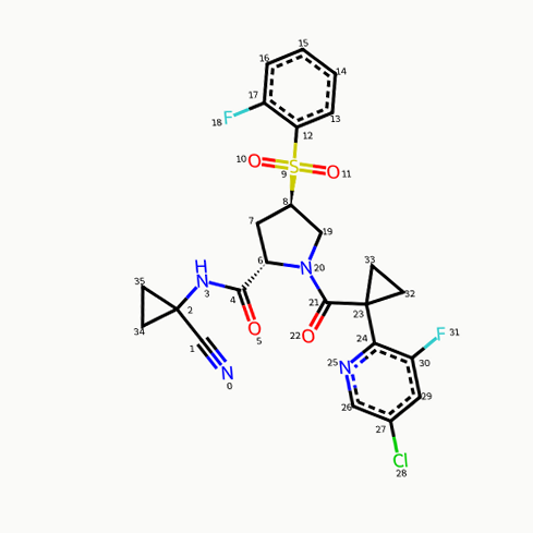 N#CC1(NC(=O)[C@@H]2C[C@@H](S(=O)(=O)c3ccccc3F)CN2C(=O)C2(c3ncc(Cl)cc3F)CC2)CC1